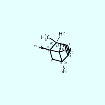 C[C@H]1C#C[C@H]2C[C@H]1C2(C)C